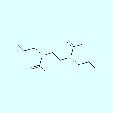 O=C(O)N(CCS)CCN(CCS)C(=O)O